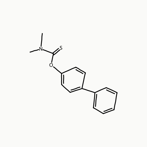 CN(C)C(=S)Oc1ccc(-c2ccccc2)cc1